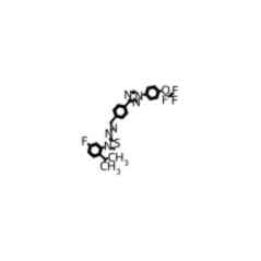 CC(C)c1ccc(F)cc1N1CS/C1=N\N=C\c1ccc(-c2ncn(-c3ccc(OC(F)(F)F)cc3)n2)cc1